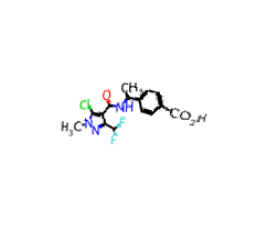 CC(NC(=O)c1c(C(F)F)nn(C)c1Cl)c1ccc(C(=O)O)cc1